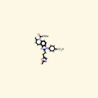 COC(=O)N1c2ccc3c(nc(CCc4cnc(C)o4)n3C3CCC(C(=O)O)CC3)c2CCC1C